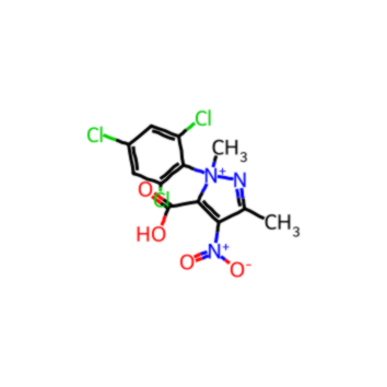 CC1=N[N+](C)(c2c(Cl)cc(Cl)cc2Cl)C(C(=O)O)=C1[N+](=O)[O-]